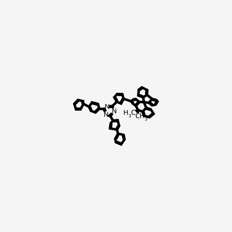 CC1(C)c2ccccc2C2(c3ccccc3-c3ccccc32)c2ccc(-c3cccc(-c4nc(-c5ccc(-c6ccccc6)cc5)nc(-c5ccc(-c6ccccc6)cc5)n4)c3)cc21